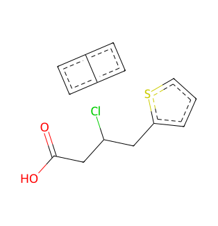 O=C(O)CC(Cl)Cc1cccs1.c1cc2ccc1-2